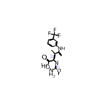 C=C(Nc1cccc(C(F)(F)F)c1)/C(C)=C(\N=C(/N)OC)C(=O)O